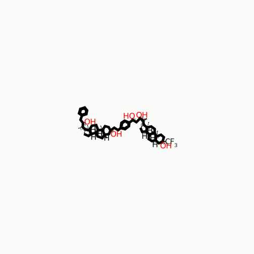 C[C@H]([C@H](O)C[C@@H](O)c1ccc(CC[C@]2(O)CC[C@@]3(C)[C@@H](CC[C@@H]4[C@@H]3CC[C@]3(C)[C@@H]([C@H](C)[C@@H](O)Cc5ccccc5)CC[C@@H]43)C2)cc1)[C@H]1CC[C@H]2[C@@H]3CC[C@H]4C[C@](O)(C(F)(F)F)CC[C@]4(C)[C@H]3CC[C@]12C